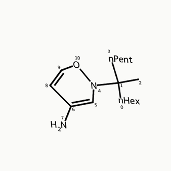 CCCCCCC(C)(CCCCC)N1C=C(N)C=CO1